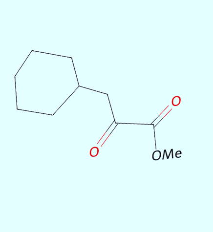 COC(=O)C(=O)CC1CCCCC1